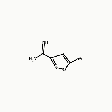 CC(C)c1cc(C(=N)N)no1